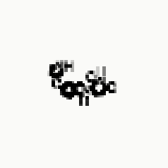 O=C1CC[C@H](N2Cc3cc(O[C@H]4CCNC4)ccc3C2=O)C(=O)N1